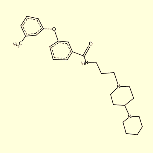 Cc1cccc(Oc2cccc(C(=O)NCCCN3CCC(N4CCCCC4)CC3)c2)c1